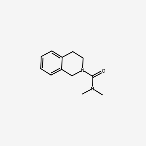 CN(C)C(=O)N1CCc2ccccc2C1